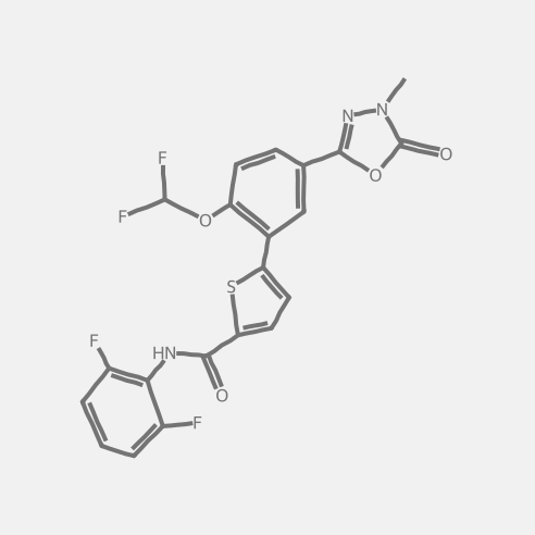 Cn1nc(-c2ccc(OC(F)F)c(-c3ccc(C(=O)Nc4c(F)cccc4F)s3)c2)oc1=O